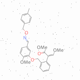 CO/C=C(\C(=O)OC)c1ccccc1COc1cc(/C=N/OCc2ccc(C)cc2)ccc1OC